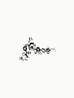 C=CC(=O)Nc1cccc(Nc2nc(Nc3ccc(N4CCN(S(C)(=O)=O)CC4)cc3OC)ncc2C)c1